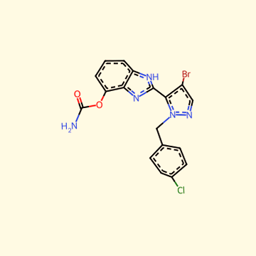 NC(=O)Oc1cccc2[nH]c(-c3c(Br)cnn3Cc3ccc(Cl)cc3)nc12